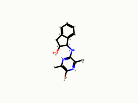 CCc1nc(Br)c(C)nc1NC1c2ccccc2CC1O